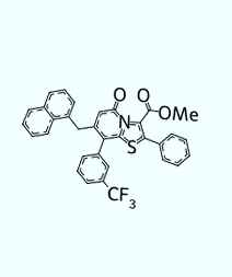 COC(=O)c1c(-c2ccccc2)sc2c(-c3cccc(C(F)(F)F)c3)c(Cc3cccc4ccccc34)cc(=O)n12